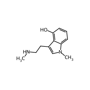 CNCCc1cn(C)c2cccc(O)c12